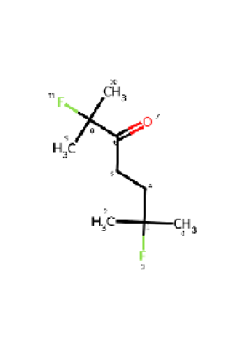 CC(C)(F)CCC(=O)C(C)(C)F